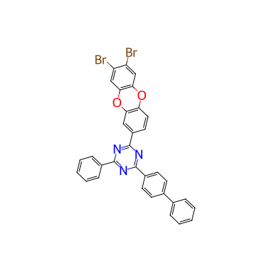 Brc1cc2c(cc1Br)Oc1cc(-c3nc(-c4ccccc4)nc(-c4ccc(-c5ccccc5)cc4)n3)ccc1O2